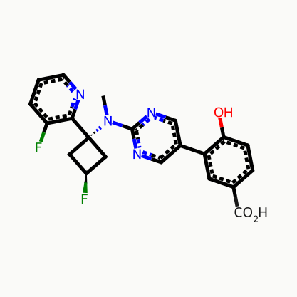 CN(c1ncc(-c2cc(C(=O)O)ccc2O)cn1)[C@]1(c2ncccc2F)C[C@@H](F)C1